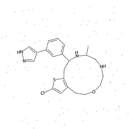 CC1CNCCOCCc2cc(Cl)sc2CC(c2cccc(-c3cn[nH]c3)c2)N1